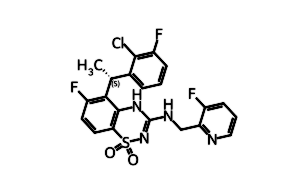 C[C@H](c1cccc(F)c1Cl)c1c(F)ccc2c1NC(NCc1ncccc1F)=NS2(=O)=O